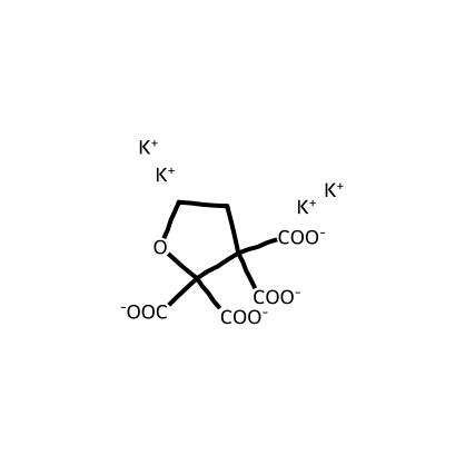 O=C([O-])C1(C(=O)[O-])CCOC1(C(=O)[O-])C(=O)[O-].[K+].[K+].[K+].[K+]